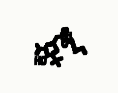 C=C(C)c1cc(C[PH](=O)OCCCC)cc(C(C)(C)C)c1O